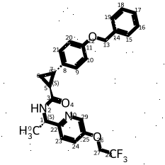 C[C@H](NC(=O)[C@H]1C[C@@H]1c1ccc(OCc2ccccc2)cc1)c1ccc(OCC(F)(F)F)cn1